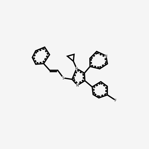 Fc1ccc(-c2nc(SC=Cc3ccccc3)n(C3CC3)c2-c2ccncc2)cc1